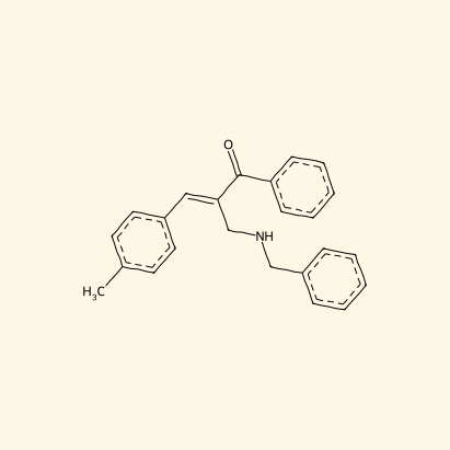 Cc1ccc(/C=C(\CNCc2ccccc2)C(=O)c2ccccc2)cc1